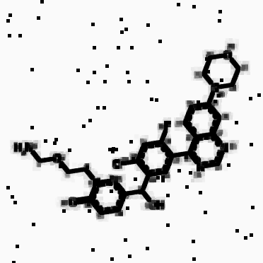 NCOCCn1nc(C(O)c2cc(-c3ncnc4cc(N5CCOCC5)ccc34)c(F)cc2Cl)ccc1=O